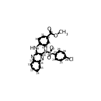 COC(=O)c1ccc(Nc2nc3ccccc3nc2NS(=O)(=O)c2ccc(Cl)cc2)cc1